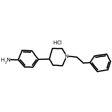 Cl.Nc1ccc(C2CCN(CCc3ccccc3)CC2)cc1